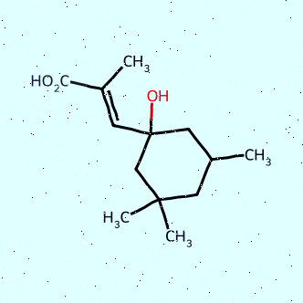 CC(=CC1(O)CC(C)CC(C)(C)C1)C(=O)O